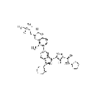 Cc1c(CN(CCC(C)(C)C)C(=O)O)cncc1-c1ccc2c(c1)c(-c1ncc(C(=O)NC3CCCC3)[nH]1)nn2C1CCCCO1